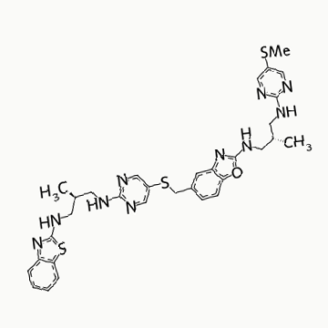 CSc1cnc(NC[C@H](C)CNc2nc3cc(CSc4cnc(NC[C@H](C)CNc5nc6ccccc6s5)nc4)ccc3o2)nc1